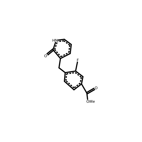 COC(=O)c1ccc(Cc2ccc[nH]c2=O)c(F)c1